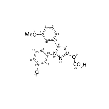 COc1cccc(-c2cc(OC(=O)O)nn2-c2cccc(Cl)c2)c1